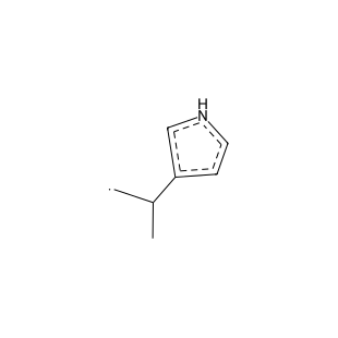 [CH2]C(C)c1cc[nH]c1